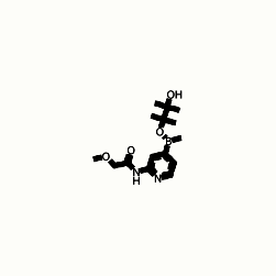 COCC(=O)Nc1cc(B(C)OC(C)(C)C(C)(C)O)ccn1